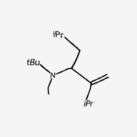 C=C(C(C)C)C(CC(C)C)N(C)C(C)(C)C